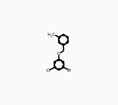 Cc1cccc(COc2cc(Cl)cc(Br)c2)c1